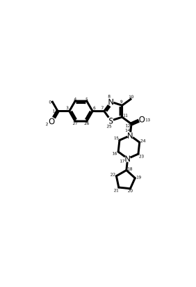 CC(=O)c1ccc(-c2nc(C)c(C(=O)N3CCN(C4CCCC4)CC3)s2)cc1